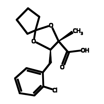 C[C@]1(C(=O)O)OC2(CCCC2)O[C@@H]1Cc1ccccc1Cl